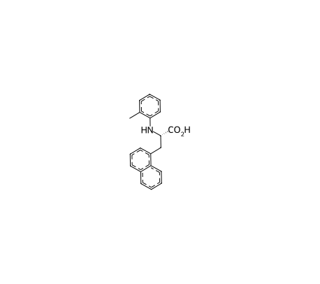 Cc1ccccc1N[C@@H](Cc1cccc2ccccc12)C(=O)O